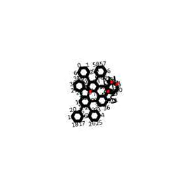 c1ccc(-c2ccc(-c3c(-c4c5c(cc(-c6ccccc6)c4-c4ccccc4)-c4ccccc4C5)ccc4sc5ccccc5c34)c(-c3ccnnn3)c2-c2ccccc2)cc1